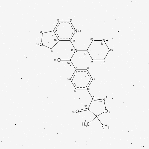 CC1(C)ON=C(c2ccc(C(=O)N(c3nccc4c3COC4)C3CCCNC3)cc2)C1=O